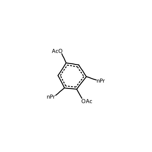 CCCc1cc(OC(C)=O)cc(CCC)c1OC(C)=O